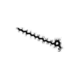 CCCCCCCCCCCCCCCCCCc1cccc(C=S)c1